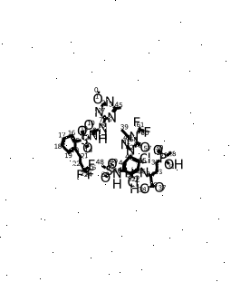 COc1nc(C)nc(NC(=O)NS(=O)(=O)c2ccccc2CCC(F)(F)F)n1.CP(=O)(O)CCC(N)C(=O)O.Cc1nn(-c2cc(NS(C)(=O)=O)c(Cl)cc2Cl)c(=O)n1C(F)F